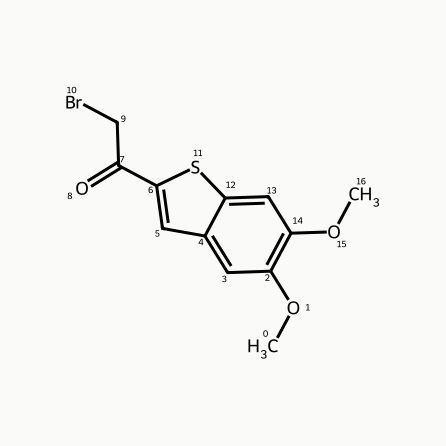 COc1cc2cc(C(=O)CBr)sc2cc1OC